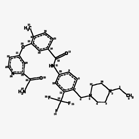 CCN1CCN(Cc2ccc(NC(=O)c3ccc(C)c(Oc4ccnc(C(N)=O)c4)c3)cc2C(F)(F)F)CC1